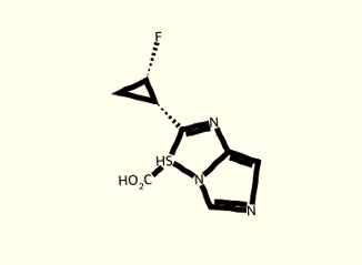 O=C(O)[SH]1C([C@@H]2C[C@@H]2F)=Nc2cncn21